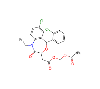 CC(C)CN1C(=O)C(CC(=O)OCOC(=O)C(C)(C)C)OC(c2ccccc2Cl)c2cc(Cl)ccc21